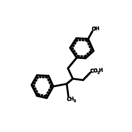 CC(c1ccccc1)C(CC(=O)O)Cc1ccc(O)cc1